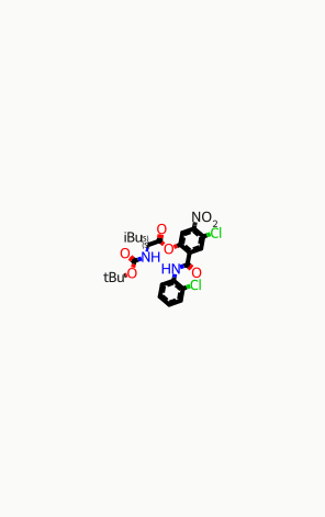 CC[C@H](C)[C@H](NC(=O)OC(C)(C)C)C(=O)Oc1cc([N+](=O)[O-])c(Cl)cc1C(=O)Nc1ccccc1Cl